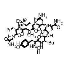 CC[C@H](C)[C@H](NC(=O)[C@H](Cc1ccc(O)cc1)NO)C(=O)N[C@@H](CCC(N)=O)C(=O)N[C@@H](CC(N)=O)C(=O)N[C@@H](CCS(=O)(=O)CC)C(=O)N(C)CC(=O)N[C@@H](CC(C)C)C(=O)NCC(N)=O